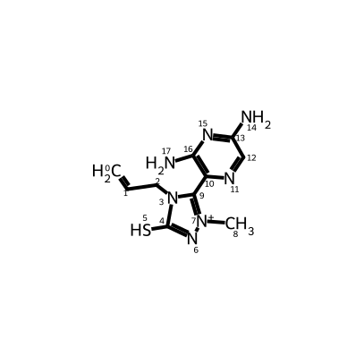 C=CCn1c(S)n[n+](C)c1-c1ncc(N)nc1N